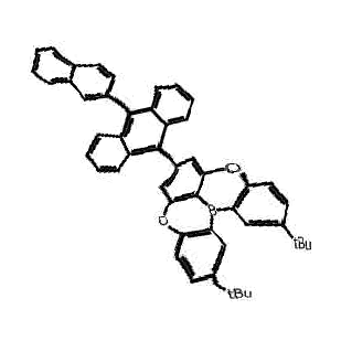 CC(C)(C)c1ccc2c(c1)B1c3cc(C(C)(C)C)ccc3Oc3cc(-c4c5ccccc5c(-c5ccc6ccccc6c5)c5ccccc45)cc(c31)O2